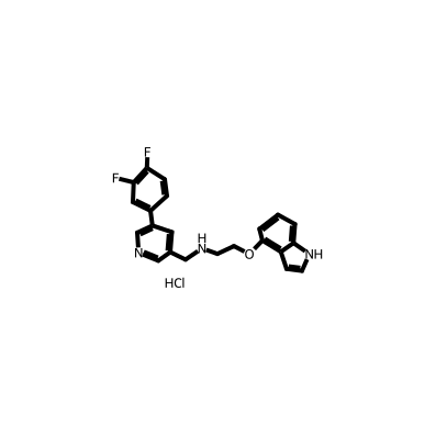 Cl.Fc1ccc(-c2cncc(CNCCOc3cccc4[nH]ccc34)c2)cc1F